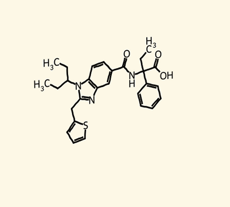 CCC(CC)n1c(Cc2cccs2)nc2cc(C(=O)NC(CC)(C(=O)O)c3ccccc3)ccc21